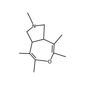 CC1=C(C)C2CN(C)CC2C(C)=C(C)O1